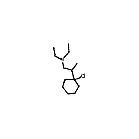 CCN(CC)CC(C)C1(Cl)CCCCC1